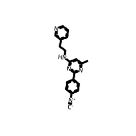 [C-]#[N+]c1ccc(-c2nc(C)cc(NCCc3cccnc3)n2)cc1